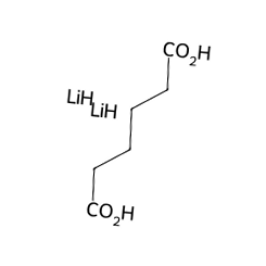 O=C(O)CCCCC(=O)O.[LiH].[LiH]